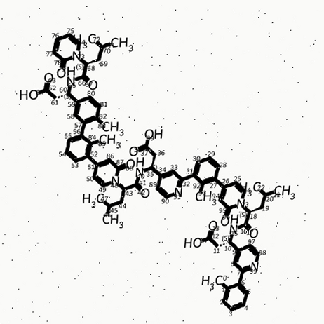 Cc1ccccc1-c1cc([C@H](CC(=O)O)NC(=O)[C@H](CC(C)C)n2ccc(-c3cccc(-c4cc([C@H](CC(=O)O)NC(=O)C(CC(C)C)n5ccc(-c6cccc(-c7cc([C@H](CC(=O)O)NC(=O)[C@H](CC(C)C)n8ccccc8=O)ccc7C)c6C)cc5=O)ccn4)c3C)cc2=O)ccn1